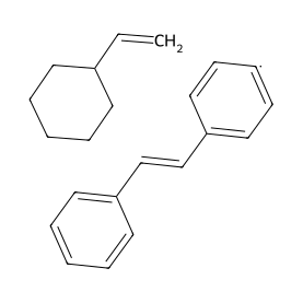 C=CC1CCCCC1.[c]1ccc(C=Cc2ccccc2)cc1